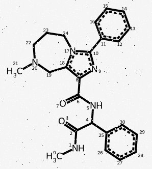 CNC(=O)C(NC(=O)c1nc(-c2ccccc2)n2c1CN(C)CCC2)c1ccccc1